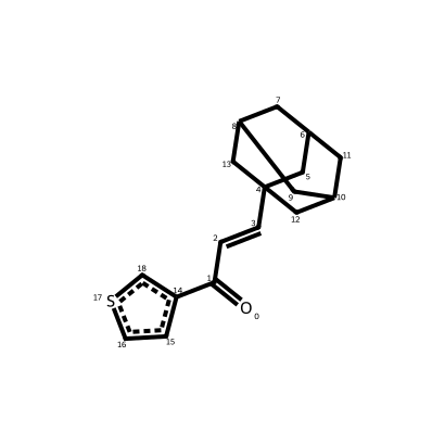 O=C(C=CC12CC3CC(CC(C3)C1)C2)c1ccsc1